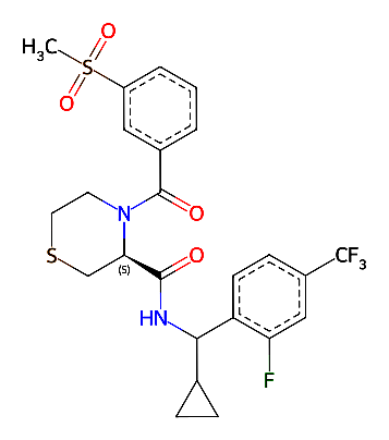 CS(=O)(=O)c1cccc(C(=O)N2CCSC[C@@H]2C(=O)NC(c2ccc(C(F)(F)F)cc2F)C2CC2)c1